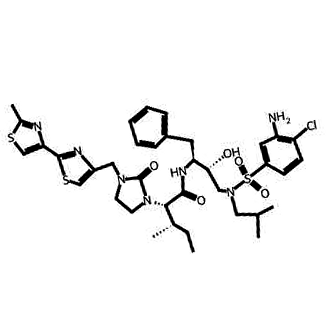 CC[C@H](C)[C@@H](C(=O)N[C@@H](Cc1ccccc1)[C@H](O)CN(CC(C)C)S(=O)(=O)c1ccc(Cl)c(N)c1)N1CCN(Cc2csc(-c3csc(C)n3)n2)C1=O